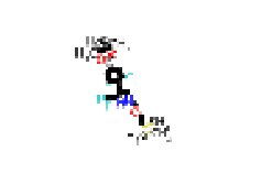 CC1(C)OB(c2ccc(-c3cn(COCCS(C)(C)C)nc3C(F)(F)F)c(F)c2)OC1(C)C